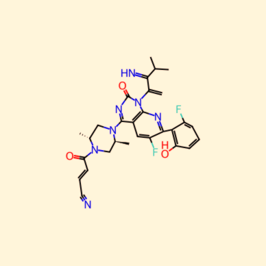 C=C(C(=N)C(C)C)n1c(=O)nc(N2C[C@@H](C)N(C(=O)/C=C/C#N)C[C@@H]2C)c2cc(F)c(-c3c(O)cccc3F)nc21